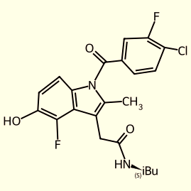 CC[C@H](C)NC(=O)Cc1c(C)n(C(=O)c2ccc(Cl)c(F)c2)c2ccc(O)c(F)c12